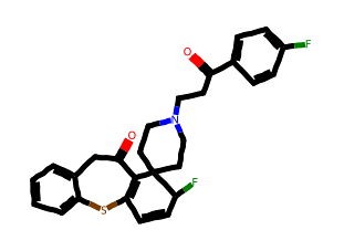 O=C1Cc2ccccc2SC2=C1C1(CCN(CCC(=O)c3ccc(F)cc3)CC1)C(F)C=C2